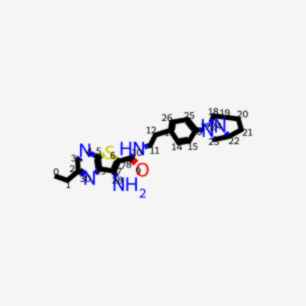 CCc1cnc2sc(C(=O)NCCc3ccc(N4CC5CCC(C4)N5)cc3)c(N)c2n1